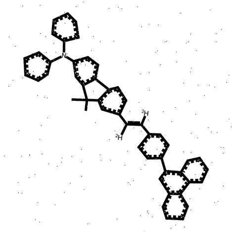 [2H]/C(=C(/[2H])c1ccc2c(c1)C(C)(C)c1cc(N(c3ccccc3)c3ccccc3)ccc1-2)c1ccc(-c2cc3ccccc3c3ccccc23)cc1